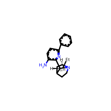 CC[C@@H]1[C@@H](c2nc(-c3ccccc3)ccc2N)C2CCN1CC2